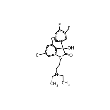 CCN(CC)CCN1C(=O)C(O)(c2ccc(F)c(F)c2)c2c(Cl)cc(Cl)cc21